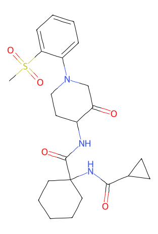 CS(=O)(=O)c1ccccc1N1CCC(NC(=O)C2(NC(=O)C3CC3)CCCCC2)C(=O)C1